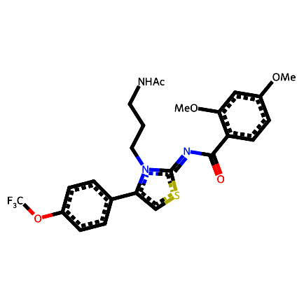 COc1ccc(C(=O)N=c2scc(-c3ccc(OC(F)(F)F)cc3)n2CCCNC(C)=O)c(OC)c1